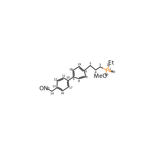 C=P(CC)(CCCc1ccc(-c2ccc(CN=O)cc2)cc1)OC